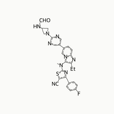 CCc1nc2ccc(-c3cnc(N4CC(NC=O)C4)nc3)cn2c1N(C)c1nc(-c2ccc(F)cc2)c(C#N)s1